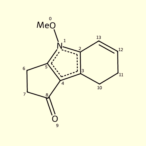 COn1c2c(c3c1CCC3=O)CCC=C2